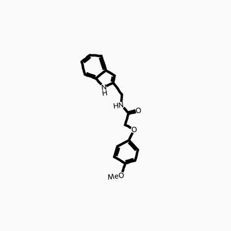 COc1ccc(OCC(=O)NCc2cc3ccccc3[nH]2)cc1